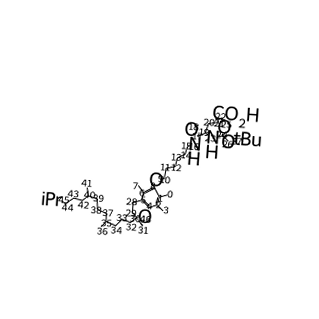 Cc1c(C)c2c(c(C)c1OCCCCCCNC(=O)C(CCC(=O)O)NC(=O)OC(C)(C)C)CC[C@@](C)(CCCC(C)CCCC(C)CCCC(C)C)O2